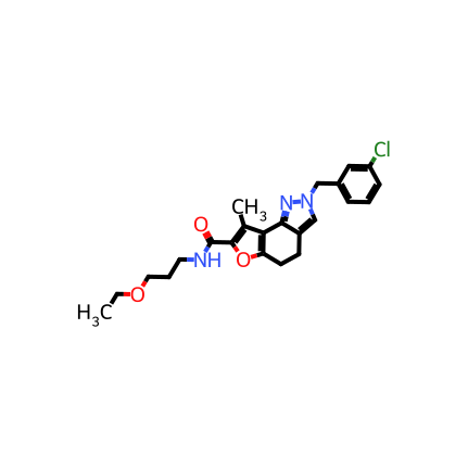 CCOCCCNC(=O)c1oc2c(c1C)-c1nn(Cc3cccc(Cl)c3)cc1CC2